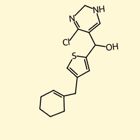 OC(C1=CNCN=C1Cl)c1cc(CC2=CCCCC2)cs1